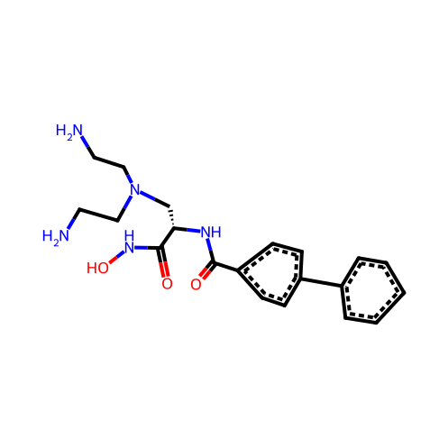 NCCN(CCN)C[C@H](NC(=O)c1ccc(-c2ccccc2)cc1)C(=O)NO